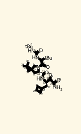 CC(C)(C)NC(=O)NC(C(=O)N1CC2(C[C@H]1C(=O)N[C@H](CC1CCC1)C(=O)C(N)=O)CC2(C)C)C(C)(C)C